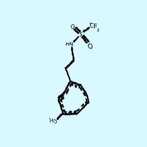 O=S(=O)(NCCc1cccc(O)c1)C(F)(F)F